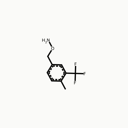 Cc1ccc(CON)cc1C(F)(F)F